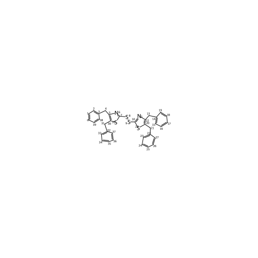 c1ccc(Cc2nc(SSc3nc(Cc4ccccc4)c(Cc4ccccc4)s3)sc2Cc2ccccc2)cc1